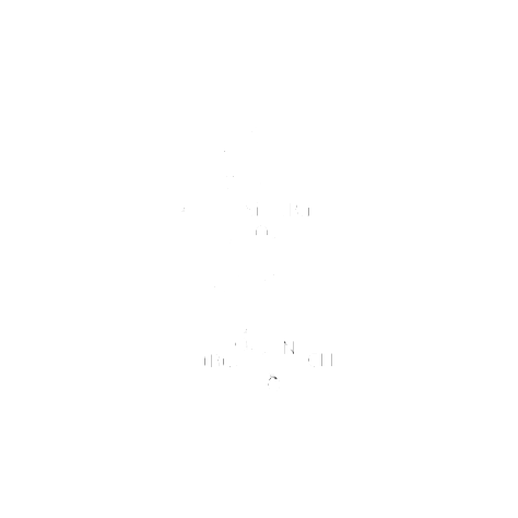 CN(Cc1cccc(CO[Si](c2ccccc2)(c2ccccc2)C(C)(C)C)c1)C(=O)OC(C)(C)C